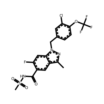 Cc1nn(Cc2ccc(OC(F)(F)F)c(Cl)c2)c2cc(F)c(C(=O)NS(C)(=O)=O)cc12